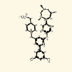 C[C@@H]1CN(C)C[C@H](C)N(c2cnc(Oc3cc(CN4CCC(CC(=O)O)CC4)cc(-c4cc(Cl)cc(Cl)c4)n3)cn2)C1